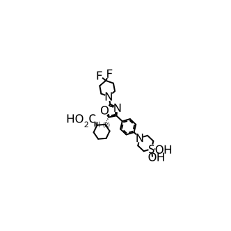 O=C(O)[C@@H]1CCCC[C@H]1c1oc(N2CCC(F)(F)CC2)nc1-c1ccc(N2CCS(O)(O)CC2)cc1